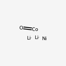 [Li].[Li].[Ni].[O]=[Co]